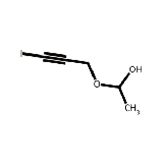 CC(O)OCC#CI